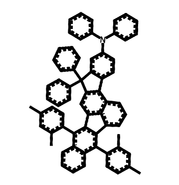 Cc1ccc(-c2c3c(c(-c4ccc(C)cc4C)c4ccccc24)-c2cc4c(c5cccc-3c25)-c2ccc(N(c3ccccc3)c3ccccc3)cc2C4(c2ccccc2)c2ccccc2)c(C)c1